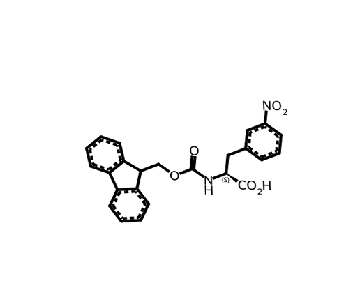 O=C(N[C@@H](Cc1cccc([N+](=O)[O-])c1)C(=O)O)OCC1c2ccccc2-c2ccccc21